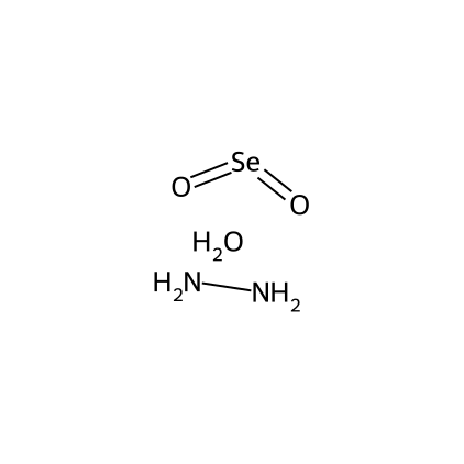 NN.O.O=[Se]=O